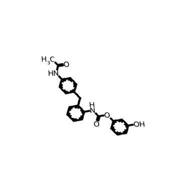 CC(=O)Nc1ccc(Cc2ccccc2NC(=O)Oc2cccc(O)c2)cc1